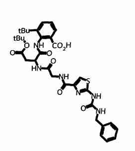 CC(C)(C)OC(=O)CC(NC(=O)CNC(=O)c1csc(NC(=O)NCc2ccccc2)n1)C(=O)Nc1c(C(=O)O)cccc1C(C)(C)C